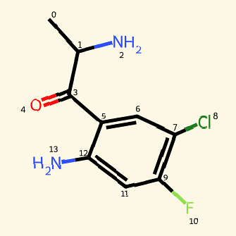 CC(N)C(=O)c1cc(Cl)c(F)cc1N